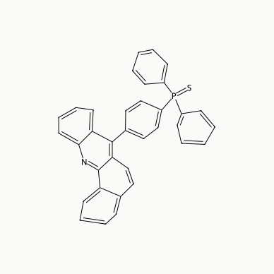 S=P(c1ccccc1)(c1ccccc1)c1ccc(-c2c3ccccc3nc3c2ccc2ccccc23)cc1